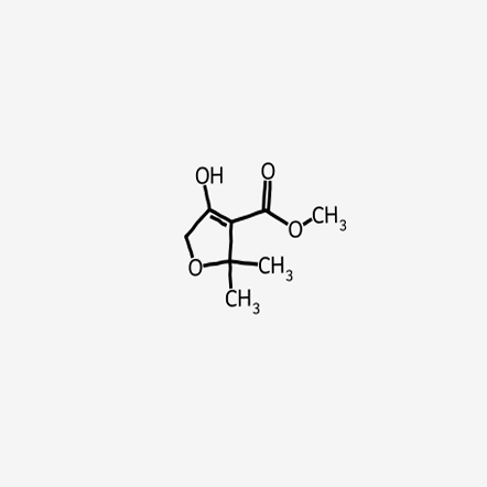 COC(=O)C1=C(O)COC1(C)C